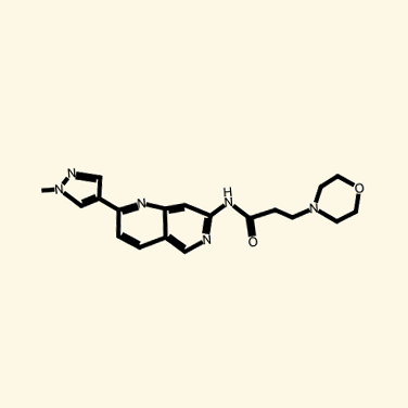 Cn1cc(-c2ccc3cnc(NC(=O)CCN4CCOCC4)cc3n2)cn1